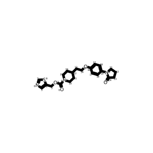 O=C(OCc1cncs1)N1CCC(CCOc2ccc(N3CCCC3=O)cc2)CC1